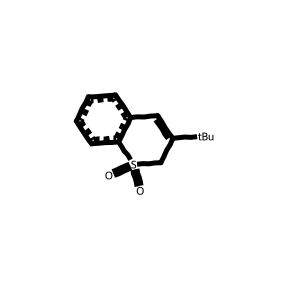 CC(C)(C)C1=Cc2ccccc2S(=O)(=O)C1